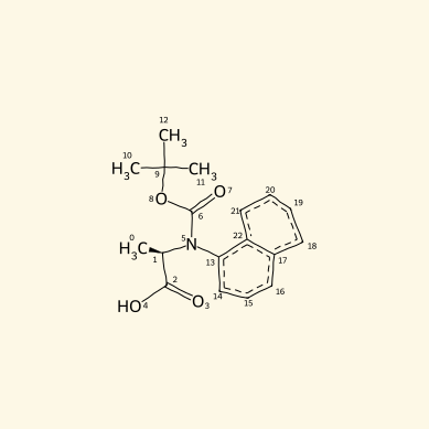 C[C@H](C(=O)O)N(C(=O)OC(C)(C)C)c1cccc2ccccc12